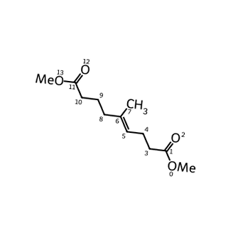 COC(=O)CC/C=C(\C)CCCC(=O)OC